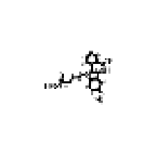 O=C(CCCCn1c2ccc(OC(F)F)cc2c2[nH]c(=O)c3ccccc3c21)NO